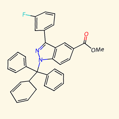 COC(=O)c1ccc2c(c1)c(-c1cccc(F)c1)nn2C(c1ccccc1)(c1ccccc1)C1C=CC=CC1